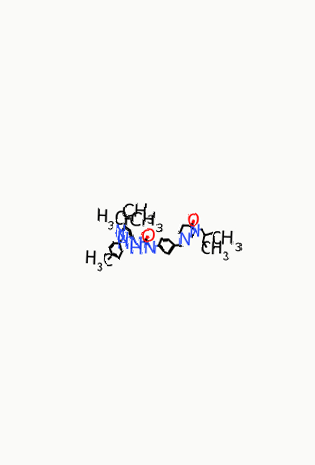 CCC(CC)CN1CN(Cc2ccc(NC(=O)Nc3cc(C(C)(C)C)nn3-c3ccc(C)cc3)cc2)CCC1=O